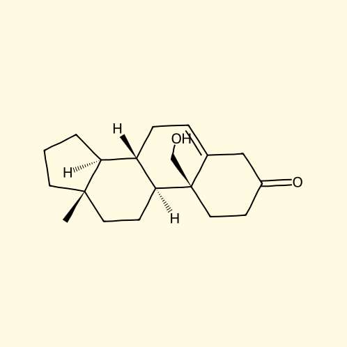 C[C@@]12CCC[C@H]1[C@@H]1CC=C3CC(=O)CC[C@]3(CO)[C@H]1CC2